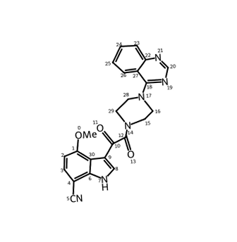 COc1ccc(C#N)c2[nH]cc(C(=O)C(=O)N3CCN(c4ncnc5ccccc45)CC3)c12